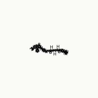 CCN(CC)C1=CC(=N\c2ccccc2)/C(=N\c2ccc(/N=N/c3ccc(N(C)CCCC(=O)NCCNCCNC(=O)Cc4ccc(-c5nncnn5)cc4)cc3)cc2I)C=C1